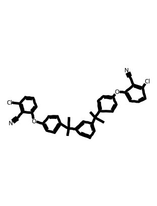 CC(C)(c1ccc(Oc2cccc(Cl)c2C#N)cc1)c1cccc(C(C)(C)c2ccc(Oc3cccc(Cl)c3C#N)cc2)c1